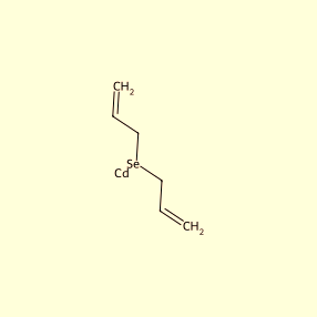 C=CC[Se]CC=C.[Cd]